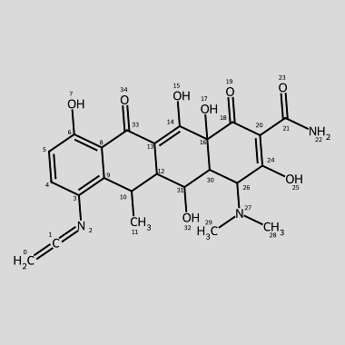 C=C=Nc1ccc(O)c2c1C(C)C1C(=C(O)C3(O)C(=O)C(C(N)=O)=C(O)C(N(C)C)C3C1O)C2=O